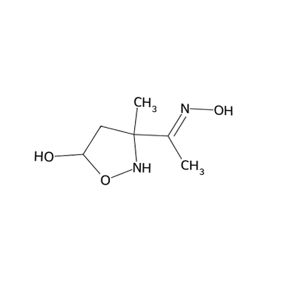 CC(=NO)C1(C)CC(O)ON1